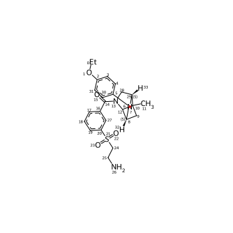 CCOc1ccc(N2C[C@@H]3CC4(C)C3N(C(=O)c3cccc(S(=O)(=O)CCN)c3)C[C@@H]24)cc1